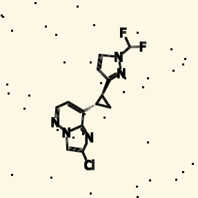 FC(F)n1ccc([C@H]2C[C@@H]2c2ccnn3cc(Cl)nc23)n1